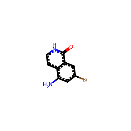 Nc1cc(Br)cc2c(=O)[nH]ccc12